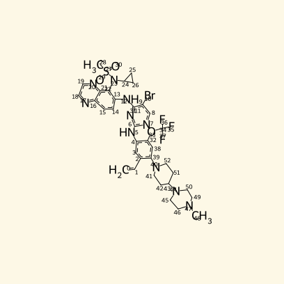 C=Cc1cc(Nc2ncc(Br)c(Nc3ccc4nccnc4c3N(C3CC3)S(C)(=O)=O)n2)c(OC(F)(F)F)cc1N1CCC(N2CCN(C)CC2)CC1